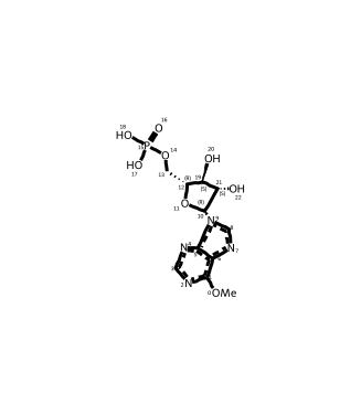 COc1ncnc2c1ncn2[C@@H]1O[C@H](COP(=O)(O)O)[C@@H](O)[C@@H]1O